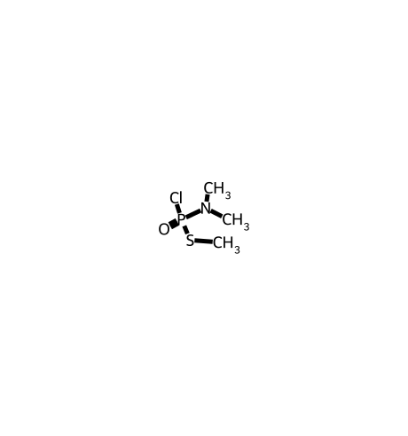 CSP(=O)(Cl)N(C)C